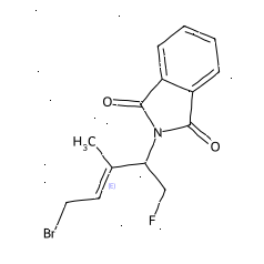 C/C(=C\CBr)C(CF)N1C(=O)c2ccccc2C1=O